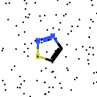 [C]1=CN=[N+]S1